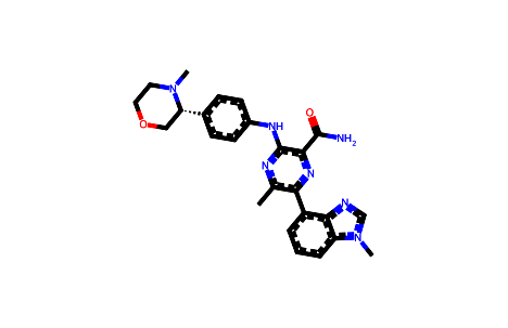 Cc1nc(Nc2ccc([C@@H]3COCCN3C)cc2)c(C(N)=O)nc1-c1cccc2c1ncn2C